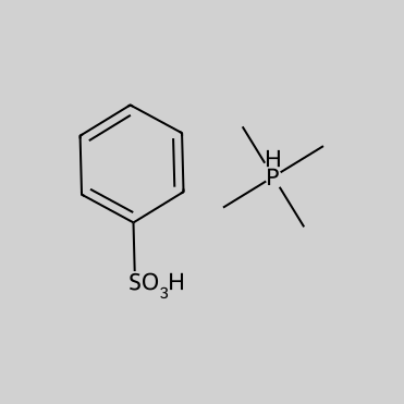 C[PH](C)(C)C.O=S(=O)(O)c1ccccc1